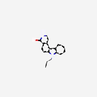 CCCn1c2ccccc2c2c3cc[nH]c(=O)c3ccc21